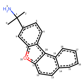 CC(C)(N)c1ccc2c(c1)oc1ccc3ccccc3c12